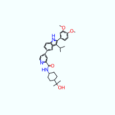 COc1ccc(-c2[nH]c3ccc(-c4ccnc(C(=O)NC5CCC(C(C)(C)O)CC5)c4)cc3c2C(C)C)cc1OC